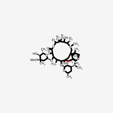 CCC1OC(=O)C(C)C(O[C@H]2C[C@@](C)(OC)[C@@H](O)[C@H](C)O2)C(C)C(O[C@@H]2O[C@H](C)C[C@H](N(C)C)[C@H]2Oc2cncc(C(F)(F)F)c2)C(C)(O)CC(C)CN(C)C(C)C(O)C1(C)O